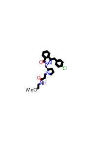 COCCNC(=O)CCN1CCC[C@@H]1Cn1nc(Cc2ccc(Cl)cc2)c2ccccc2c1=O